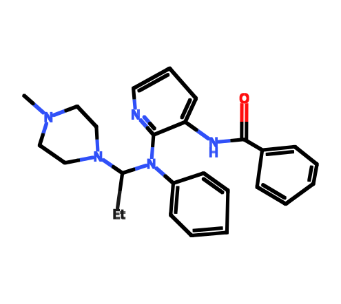 CCC(N1CCN(C)CC1)N(c1ccccc1)c1ncccc1NC(=O)c1ccccc1